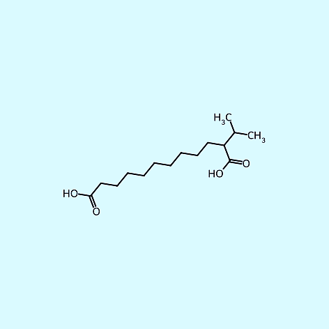 CC(C)C(CCCCCCCCCC(=O)O)C(=O)O